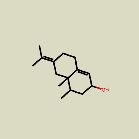 CC(C)=C1CCC2=CC(O)CC(C)C2(C)C1